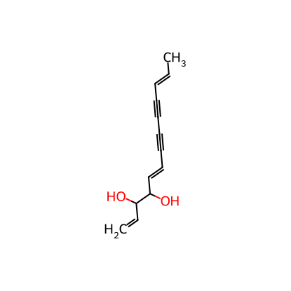 C=CC(O)C(O)/C=C/C#CC#C/C=C/C